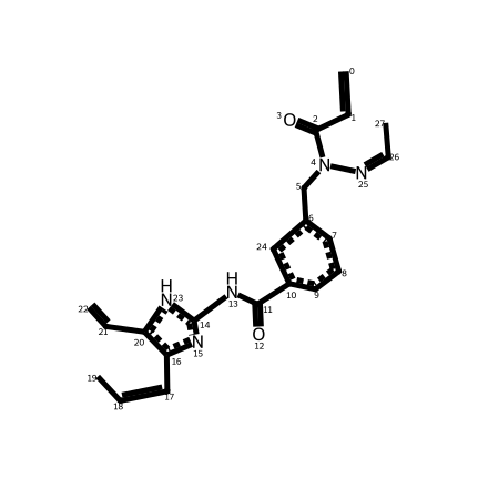 C=CC(=O)N(Cc1cccc(C(=O)Nc2nc(/C=C\C)c(C=C)[nH]2)c1)/N=C\C